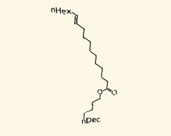 CCCCCCC=CCCCCCCCCCC(=O)OCCCCCCCCCCCCCC